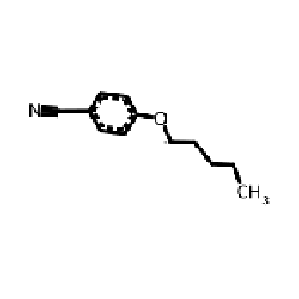 CCCC[CH]Oc1ccc(C#N)cc1